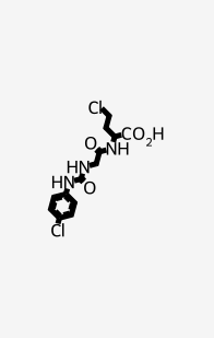 O=C(CNC(=O)Nc1ccc(Cl)cc1)NC(CCCl)C(=O)O